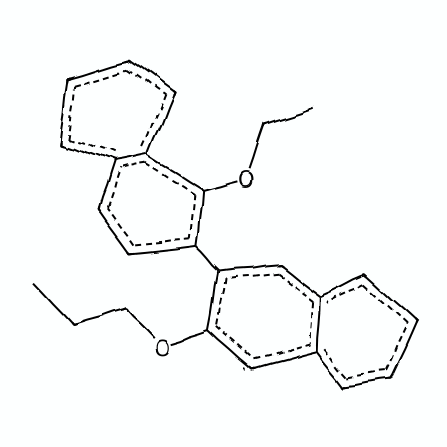 CCCOc1[c]c2ccccc2cc1-c1ccc2ccccc2c1OCC